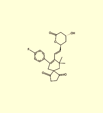 CC1(C)CC2(CC(c3ccc(F)cc3)=C1/C=C/[C@@H]1C[C@@H](O)CC(=O)O1)C(=O)CCC2=O